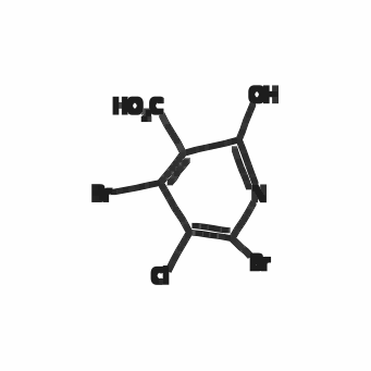 O=C(O)c1c(O)nc(Br)c(Cl)c1Br